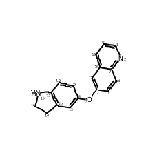 c1cnc2ccc(Oc3ccc4c(c3)CCN4)cc2c1